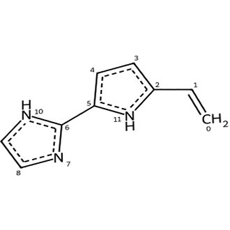 C=Cc1ccc(-c2ncc[nH]2)[nH]1